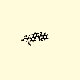 CCN(CC)C(=O)Nc1c(C)cnc2c(NC(=O)c3c(Cl)cccc3Cl)cccc12